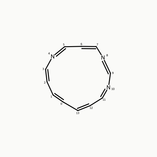 c1cccncccncnccc1